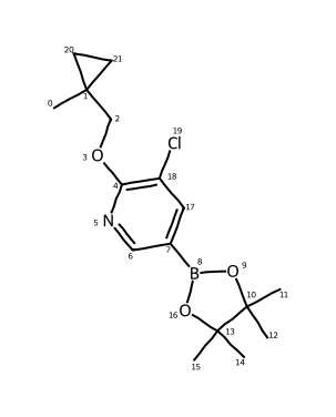 CC1(COc2ncc(B3OC(C)(C)C(C)(C)O3)cc2Cl)CC1